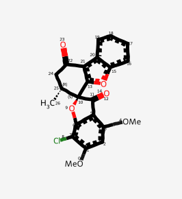 COc1cc(OC)c2c(c1Cl)O[C@]1(C2=O)c2oc3ccccc3c2C(=O)C[C@H]1C